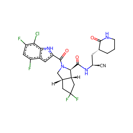 N#C[C@H](C[C@H]1CCCNC1=O)NC(=O)[C@H]1[C@@H]2CC(F)(F)C[C@@H]2CN1C(=O)c1cc2c(F)cc(F)c(Cl)c2[nH]1